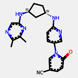 Cc1ncc(N[C@H]2CC[C@H](Nc3ccc(-n4cc(C#N)ccc4=O)cn3)C2)nc1C